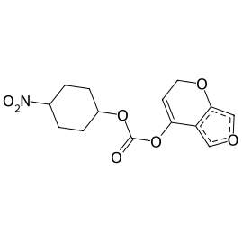 O=C(OC1=CCOc2cocc21)OC1CCC([N+](=O)[O-])CC1